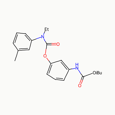 CCN(C(=O)Oc1cccc(NC(=O)OCC(C)C)c1)c1cccc(C)c1